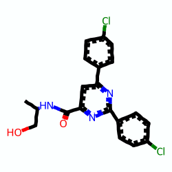 CC(CO)NC(=O)c1cc(-c2ccc(Cl)cc2)nc(-c2ccc(Cl)cc2)n1